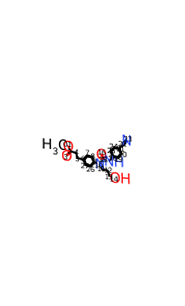 COC(=O)CCc1ccc(N(CCCO)C(=O)Nc2ccc(C#N)cc2)cc1